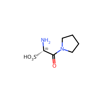 N[C@H](C(=O)N1CCCC1)S(=O)(=O)O